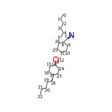 CCCCCC[C@]1(C#N)CC[C@H](CO[C@H]2CC[C@H](CCCCC)CC2)CC1